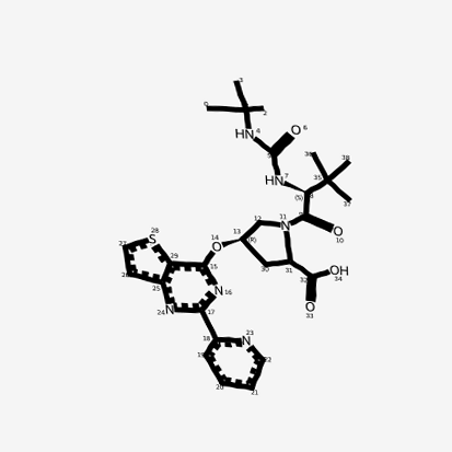 CC(C)(C)NC(=O)N[C@H](C(=O)N1C[C@H](Oc2nc(-c3ccccn3)nc3ccsc23)CC1C(=O)O)C(C)(C)C